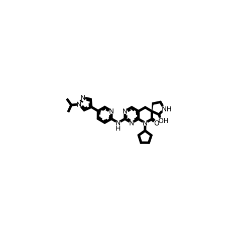 CC(C)n1cc(-c2ccc(Nc3ncc4c(n3)N(C3CCCC3)C(=O)[C@]3(CCNC3O)C4)nc2)cn1